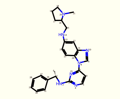 C[C@H](Nc1nccc(-n2cnc3cc(NCC4CCCN4C)ccc32)n1)c1ccccc1